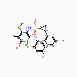 COc1c(NS(=O)(=O)C2CC2c2cccc(F)c2)c(Nc2ccc(I)cc2F)n(C)c(=O)c1C